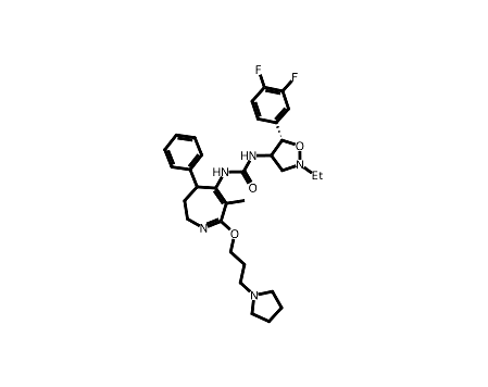 CCN1CC(NC(=O)NC2=C(C)C(OCCCN3CCCC3)=NCCC2c2ccccc2)[C@H](c2ccc(F)c(F)c2)O1